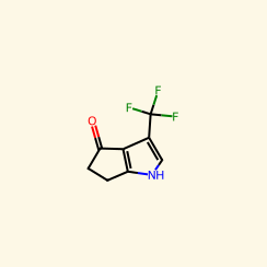 O=C1CCc2[nH]cc(C(F)(F)F)c21